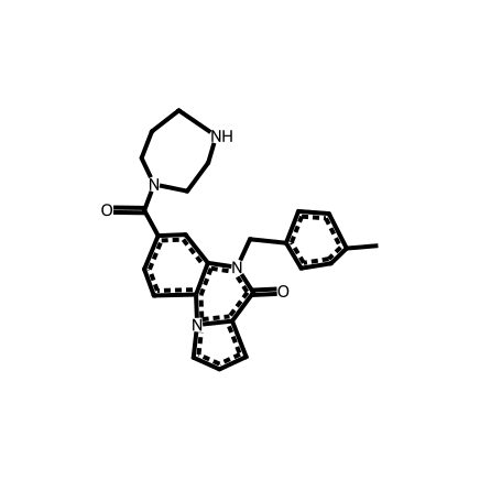 Cc1ccc(Cn2c(=O)c3cccn3c3ccc(C(=O)N4CCCNCC4)cc32)cc1